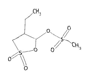 CCC1CS(=O)(=O)OC1OS(C)(=O)=O